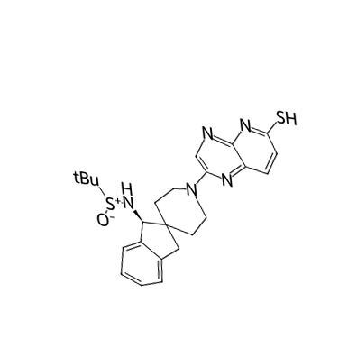 CC(C)(C)[S+]([O-])N[C@@H]1c2ccccc2CC12CCN(c1cnc3nc(S)ccc3n1)CC2